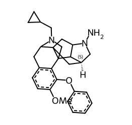 COc1ccc2c(c1Oc1ccccc1)C13CN(CC4CC4)C(C2)C12CC1C3[C@@H](CN1N)C2